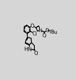 CC(C)(C)OC(=O)N1CC(Oc2cccc(C3=CC=C4NC(=O)CC4C3)c2Cl)C1